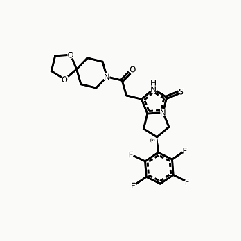 O=C(Cc1[nH]c(=S)n2c1C[C@H](c1c(F)c(F)cc(F)c1F)C2)N1CCC2(CC1)OCCO2